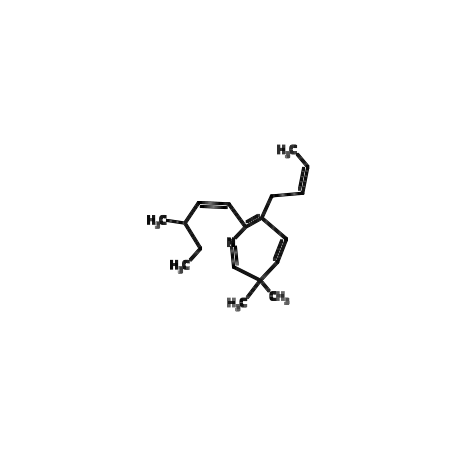 C/C=C\CC1=C(/C=C\C(C)CC)N=CC(C)(C)C=C1